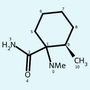 CNC1(C(N)=O)CCCC[C@H]1C